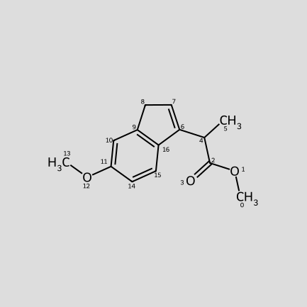 COC(=O)C(C)C1=CCc2cc(OC)ccc21